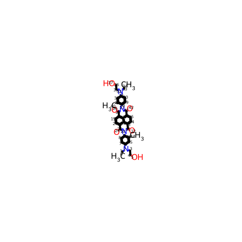 CCN(CCO)c1ccc(N2C(=O)c3ccc4c5c(ccc(c35)C2=O)C(=O)N(c2ccc(N(CC)CCO)cc2C)C4=O)c(C)c1